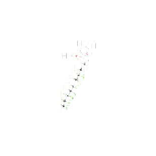 CO[Si](C)(CC(F)(F)C(F)(F)C(F)(F)C(F)(F)C(F)(F)C(F)(F)C(F)(F)C(F)(F)C(F)(F)F)OC